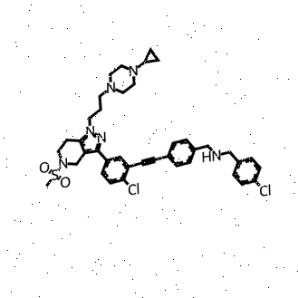 CS(=O)(=O)N1CCc2c(c(-c3ccc(Cl)c(C#Cc4ccc(CNCc5ccc(Cl)cc5)cc4)c3)nn2CCCN2CCN(C3CC3)CC2)C1